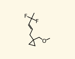 COCC1(C/C=C/C(C)(F)F)CC1